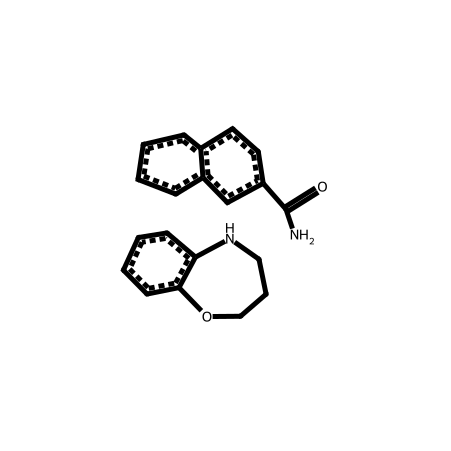 NC(=O)c1ccc2ccccc2c1.c1ccc2c(c1)NCCCO2